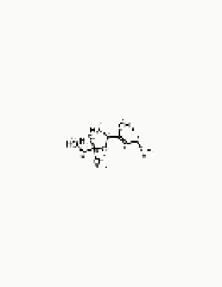 CC/C=C(\C)C(C)OC(C)(C)CO